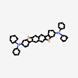 c1ccc(N(c2ccccc2)c2ccc3c(c2)sc2cc4cc5c(cc4cc23)sc2cc(N(c3ccccc3)c3ccccc3)ccc25)cc1